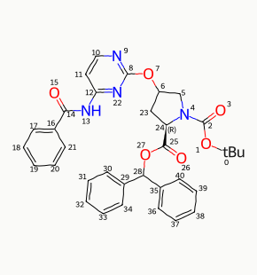 CC(C)(C)OC(=O)N1CC(Oc2nccc(NC(=O)c3ccccc3)n2)C[C@@H]1C(=O)OC(c1ccccc1)c1ccccc1